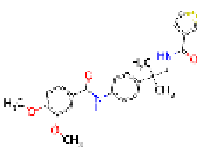 COc1ccc(C(=O)Nc2ccc(C(C)(C)CNC(=O)c3ccsc3)cc2)cc1OC